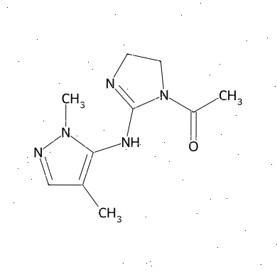 CC(=O)N1CCN=C1Nc1c(C)cnn1C